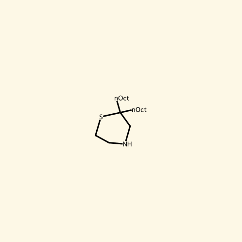 CCCCCCCCC1(CCCCCCCC)CNCCS1